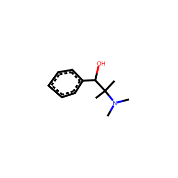 CN(C)C(C)(C)C(O)c1ccccc1